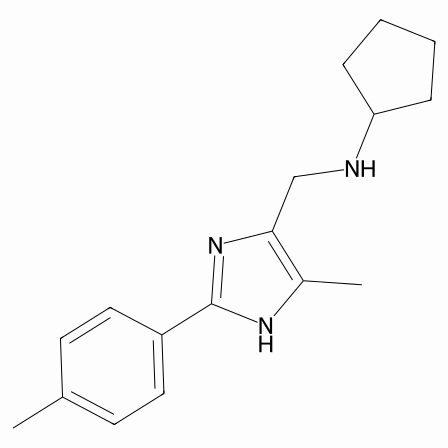 Cc1ccc(-c2nc(CNC3CCCC3)c(C)[nH]2)cc1